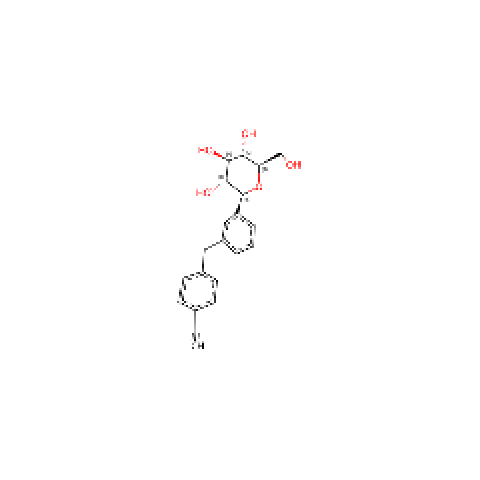 C#Cc1ccc(Cc2cccc([C@@H]3O[C@H](CO)[C@@H](O)[C@H](O)[C@H]3O)c2)cc1